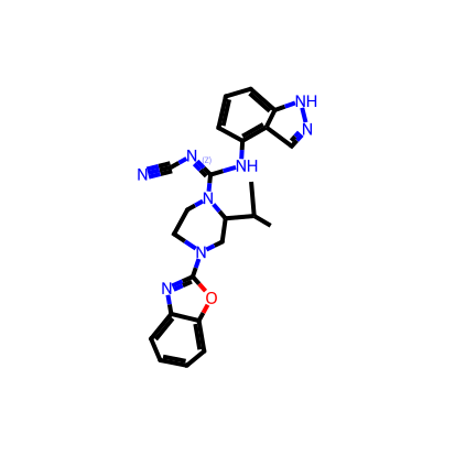 CC(C)C1CN(c2nc3ccccc3o2)CCN1/C(=N\C#N)Nc1cccc2[nH]ncc12